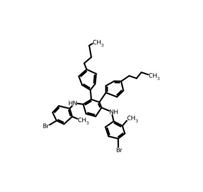 CCCCc1ccc(-c2c(Nc3ccc(Br)cc3C)ccc(Nc3ccc(Br)cc3C)c2-c2ccc(CCCC)cc2)cc1